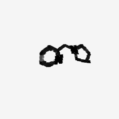 [CH]1CCN(Cc2ccccn2)C1